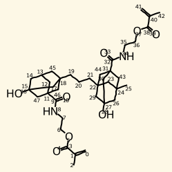 C=C(C)C(=O)OCCNC(=O)C12CC3CC(O)(CC(CCCC45CC6(C)CC(O)(C4)CC(C(=O)NCCOC(=O)C(=C)C)(C6)C5)(C3)C1)C2